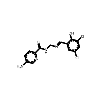 Nc1ccc(C(=O)NC/N=C/c2cc(Cl)cc(Cl)c2O)nc1